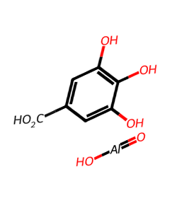 O=C(O)c1cc(O)c(O)c(O)c1.[O]=[Al][OH]